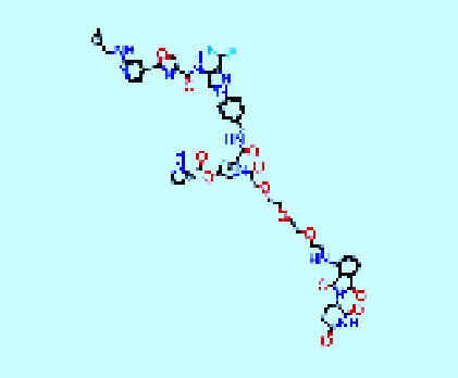 O=C1CCC(N2C(=O)c3cccc(NCCOCCOCCOCC(=O)N4C[C@H](OC(=O)[C@@H]5CCCN5)C[C@H]4C(=O)NCc4ccc(-n5cc(NC(=O)c6coc(-c7ccnc(NCC8CC8)c7)n6)c(C(F)F)n5)cc4)c3C2=O)C(=O)N1